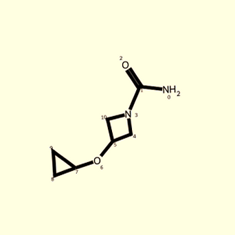 NC(=O)N1CC(OC2CC2)C1